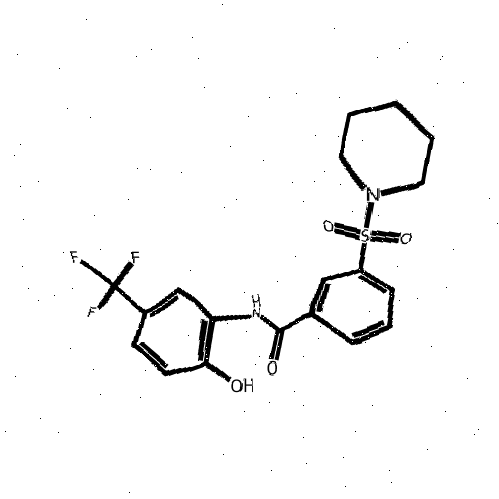 O=C(Nc1cc(C(F)(F)F)ccc1O)c1cccc(S(=O)(=O)N2CCCCC2)c1